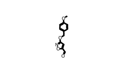 COc1ccc(COc2cc(C=O)on2)cc1